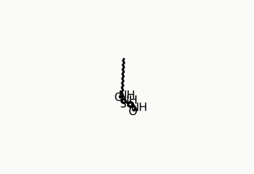 CCCCCCCCCCCCCCCCNC(=O)[C@H]1CSC(c2ccc(NC(C)=O)cc2)N1